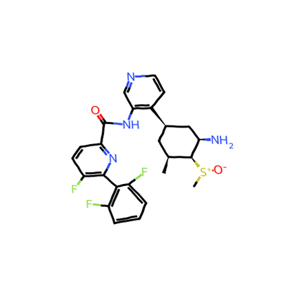 C[C@H]1C[C@@H](c2ccncc2NC(=O)c2ccc(F)c(-c3c(F)cccc3F)n2)C[C@@H](N)[C@H]1[S+](C)[O-]